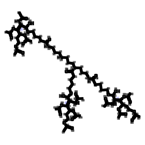 CC(=O)N/C(=C(\OC(C)=O)C(CCOC(C)=O)OC(C)=O)C(O)OCCCCC(=O)NCCCNCCCN(CCCNC(=O)CCCCOC(O)/C(NC(C)=O)=C(\OC(C)=O)C(CCOC(C)=O)OC(C)=O)C(=O)CCCCOC(O)/C(NC(C)=O)=C(\OC(C)=O)C(CCOC(C)=O)OC(C)=O